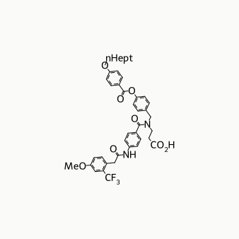 CCCCCCCOc1ccc(C(=O)Oc2ccc(CN(CCC(=O)O)C(=O)c3ccc(NC(=O)Cc4ccc(OC)cc4C(F)(F)F)cc3)cc2)cc1